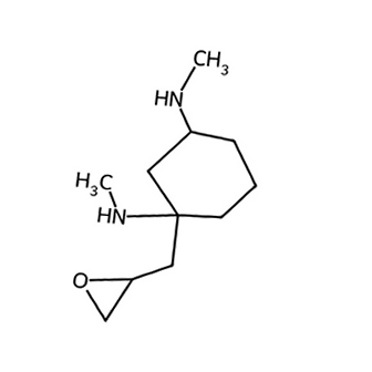 CNC1CCCC(CC2CO2)(NC)C1